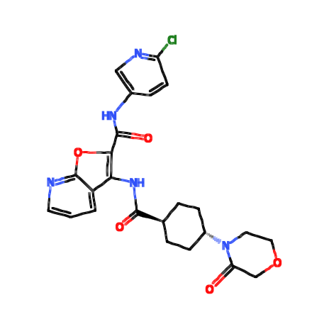 O=C(Nc1ccc(Cl)nc1)c1oc2ncccc2c1NC(=O)[C@H]1CC[C@H](N2CCOCC2=O)CC1